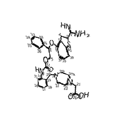 N=C(N)C1Cc2c(OC(COC(=O)Nc3ccccc3CN3CCN(CC(=O)O)CC3)c3ccccc3)cccc2S1